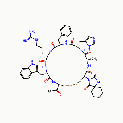 CC(=O)[C@@H]1CSSC[C@H](N2C(=O)NC3(CCCCC3)C2=O)C(=O)N[C@H](C)C(=O)N[C@@H](Cc2cnc[nH]2)C(=O)N[C@H](Cc2ccccc2)C(=O)N[C@@H](CCCNC(=N)N)C(=O)N[C@@H](Cc2c[nH]c3ccccc23)C(=O)N1